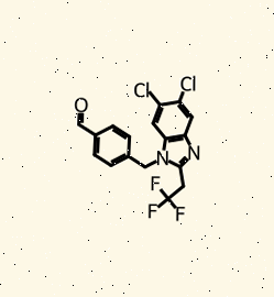 O=Cc1ccc(Cn2c(CC(F)(F)F)nc3cc(Cl)c(Cl)cc32)cc1